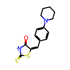 O=C1[N]C(=S)SC1=Cc1ccc(N2CCCCC2)cc1